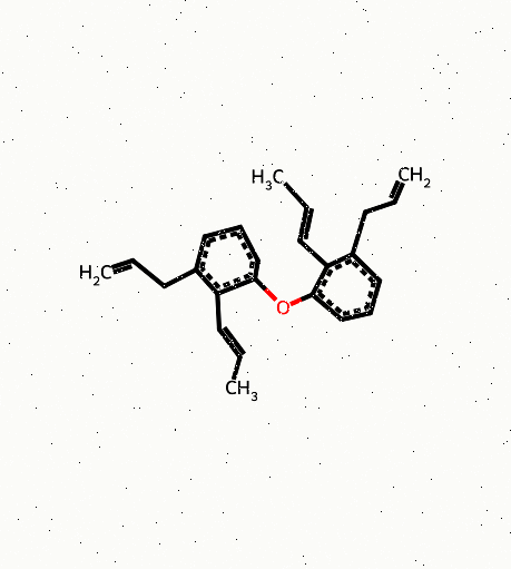 C=CCc1cccc(Oc2cccc(CC=C)c2C=CC)c1C=CC